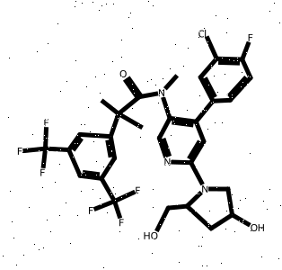 CN(C(=O)C(C)(C)c1cc(C(F)(F)F)cc(C(F)(F)F)c1)c1cnc(N2CC(O)CC2CO)cc1-c1ccc(F)c(Cl)c1